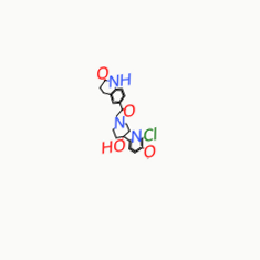 COc1ccc(C2(O)CCN(CC(=O)c3ccc4c(c3)CCC(=O)N4)CC2)nc1Cl